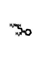 NNCCN(N)N1CCCCC1